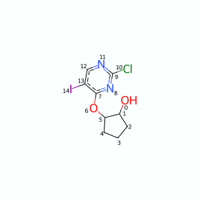 OC1CCCC1Oc1nc(Cl)ncc1I